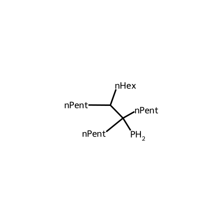 CCCCCCC(CCCCC)C(P)(CCCCC)CCCCC